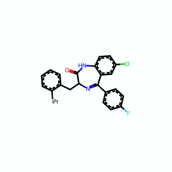 CC(C)c1ccccc1CC1N=C(c2ccc(F)cc2)c2cc(Cl)ccc2NC1=O